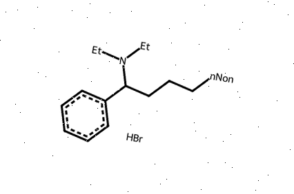 Br.CCCCCCCCCCCCC(c1ccccc1)N(CC)CC